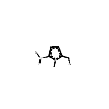 Cn1c(CBr)ccc1[N+](=O)[O-]